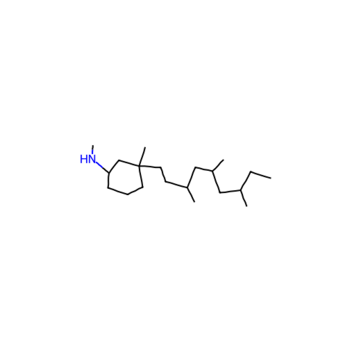 CCC(C)CC(C)CC(C)CCC1(C)CCCC(NC)C1